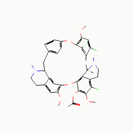 COc1cc2c3cc1Oc1c(OC(C)=O)c(OC)c(Cl)c4c1[C@H](Cc1c(Cl)cc(OC)c(c1Cl)Oc1ccc(cc1)CC3N(C)CC2)N(C)CC4